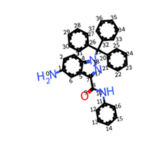 Nc1ccc2c(c1)c(C(=O)Nc1ccccc1)nn2C(c1ccccc1)(c1ccccc1)c1ccccc1